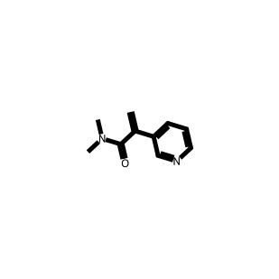 C=C(C(=O)N(C)C)c1cccnc1